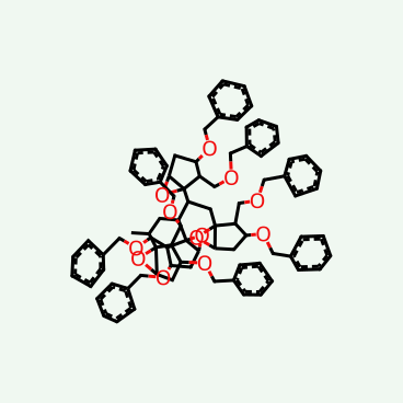 CC(CC(C(CC12OC1CC(OCc1ccccc1)C2COCc1ccccc1)C12OC1CC(OCc1ccccc1)C2COCc1ccccc1)C12OC1CC(OCc1ccccc1)C2COCc1ccccc1)C12OC1CC(OCc1ccccc1)C2COCc1ccccc1